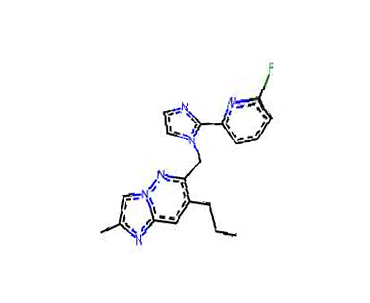 CCCc1cc2nc(C)cn2nc1Cn1ccnc1-c1cccc(F)n1